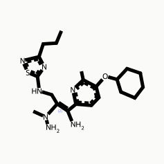 CCCc1nsc(NC/C(=C(/N)c2ccc(OC3CCCCC3)c(C)n2)N(C)N)n1